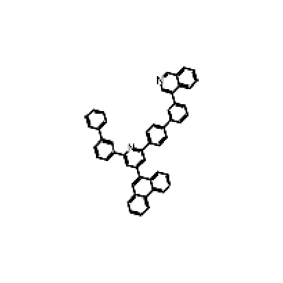 c1ccc(-c2cccc(-c3cc(-c4cc5ccccc5c5ccccc45)cc(-c4ccc(-c5cccc(-c6cncc7ccccc67)c5)cc4)n3)c2)cc1